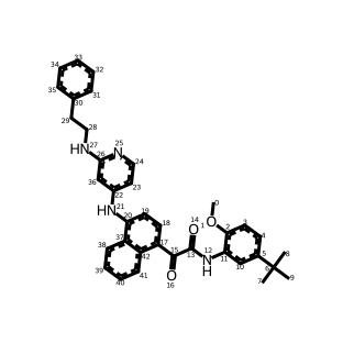 COc1ccc(C(C)(C)C)cc1NC(=O)C(=O)c1ccc(Nc2ccnc(NCCc3ccccc3)c2)c2ccccc12